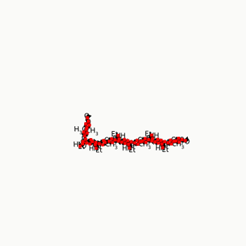 CCNC(=O)OC(COC1CCC(C(C)(C)C2CCC(OCC3CO3)CC2)CC1)CN1CCN(CC(COC2CCC(C(C)(C)C3CCC(OCC(CN4CCN(CC(COC5CCC(C(C)(C)C6CCC(OCC(CN7CCN(CC(COC8CCC(C(C)(C)C9CCC(OCC%10CO%10)CC9)CC8)OC(=O)NCC)CC7)OC(=O)NCC)CC6)CC5)OC(=O)NCC)CC4)OC(=O)NCC)CC3)CC2)OC(=O)NCC)CC1